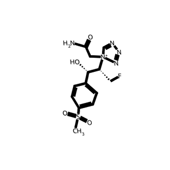 CS(=O)(=O)c1ccc([C@H](O)[C@@H](CF)[N+]2(CC(N)=O)C=NN=N2)cc1